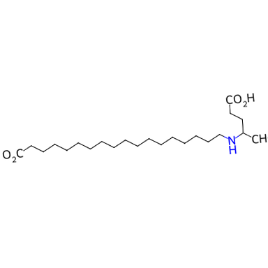 O=CC(CCC(=O)O)NCCCCCCCCCCCCCCCCCC(=O)O